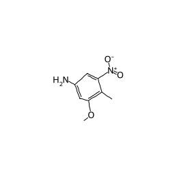 COc1cc(N)cc([N+](=O)[O-])c1C